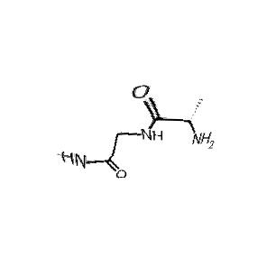 C[C@H](N)C(=O)NCC([NH])=O